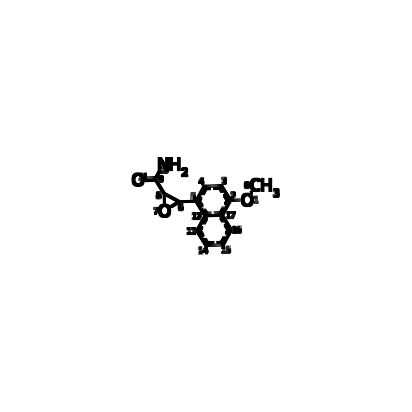 COc1ccc(C2OC2C(N)=O)c2ccccc12